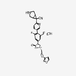 Cl.N#CC1(c2ccc(-c3c(F)cc(N4C[C@H](COc5ccon5)OC4=O)cc3F)cn2)C2CNCC21